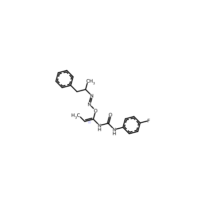 C/C=C(/NC(=O)Nc1ccc(F)cc1)ON=NC(C)Cc1ccccc1